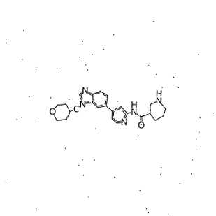 O=C(Nc1cc(-c2ccc3ncn(CC4CCOCC4)c3c2)ccn1)[C@@H]1CCCNC1